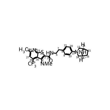 CNc1c(C(=O)NCCc2ccc(N3C[C@H]4CC[C@@H](C3)N4)cc2)sc2nc(C)cc(C(F)(F)F)c12